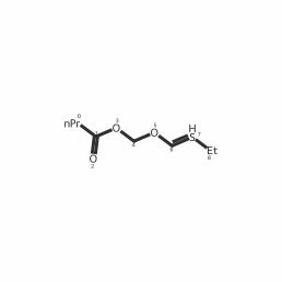 CCCC(=O)OCOC=[SH]CC